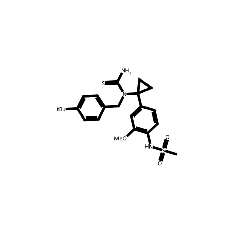 COc1cc(C2(N(Cc3ccc(C(C)(C)C)cc3)C(N)=S)CC2)ccc1NS(C)(=O)=O